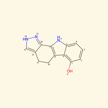 Oc1cccc2[nH]c3c(c12)CCc1c[nH]nc1-3